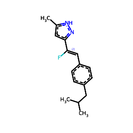 Cc1cc(/C(F)=C/c2ccc(CC(C)C)cc2)n[nH]1